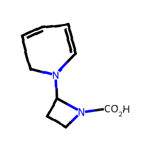 O=C(O)N1CCC1N1C=CC=CC1